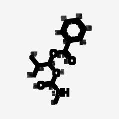 CNC(=O)OC(OC(=O)c1ccccc1)C(C)C